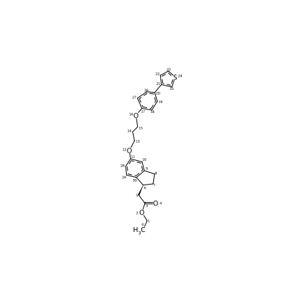 CCOC(=O)C[C@@H]1CCc2cc(OCCCOc3ccc(-c4ccsc4)cc3)ccc21